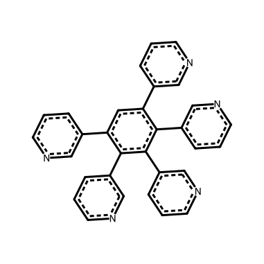 c1cncc(-c2cc(-c3cccnc3)c(-c3cccnc3)c(-c3cccnc3)c2-c2cccnc2)c1